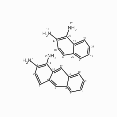 Nc1ccc2cc3ccccc3cc2c1N.Nc1ccc2ccccc2c1N